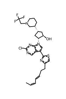 C/C=C\C=C\CCc1csc(-c2cn([C@@H]3C[C@H](C4CCCN(CC(F)(F)F)C4)C[C@H]3O)c3nc(Cl)ncc23)n1